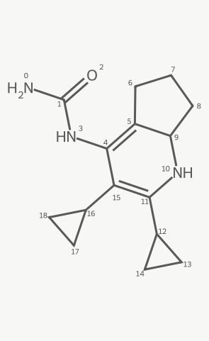 NC(=O)NC1=C2CCCC2NC(C2CC2)=C1C1CC1